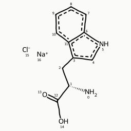 N[C@@H](Cc1c[nH]c2ccccc12)C(=O)O.[Cl-].[Na+]